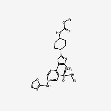 CCNS(=O)(=O)c1cc(Nc2ncco2)ccc1-c1sc([C@H]2CC[C@H](NC(=O)OC(C)C)CC2)nc1C(F)(F)F